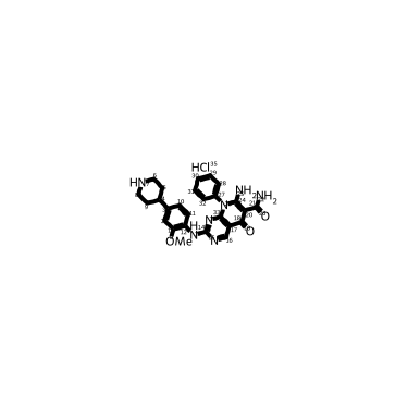 COc1cc(C2CCNCC2)ccc1Nc1ncc2c(=O)c(C(N)=O)c(N)n(-c3ccccc3)c2n1.Cl